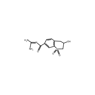 NC(N)=NC(=O)c1ccc2c(c1)S(=O)(=O)CC(O)C2